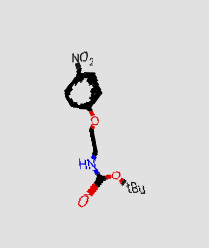 CC(C)(C)OC(=O)NCCOc1ccc([N+](=O)[O-])cc1